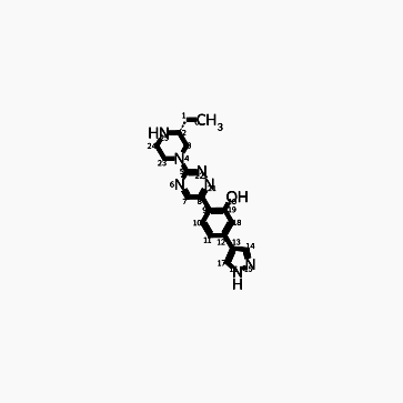 CC[C@@H]1CN(c2ncc(-c3ccc(-c4cn[nH]c4)cc3O)nn2)CCN1